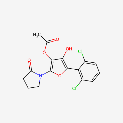 CC(=O)Oc1c(N2CCCC2=O)oc(-c2c(Cl)cccc2Cl)c1O